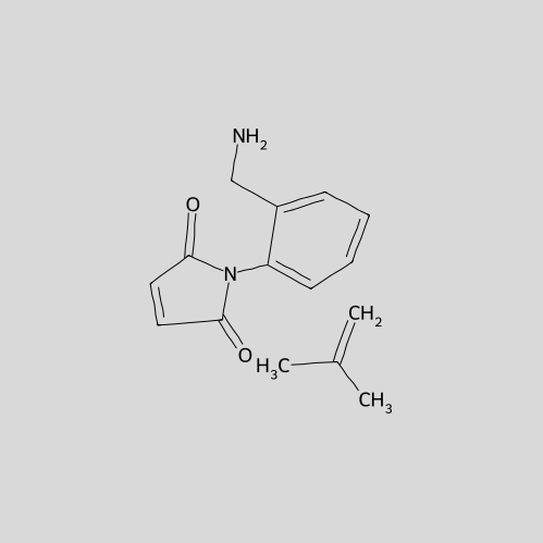 C=C(C)C.NCc1ccccc1N1C(=O)C=CC1=O